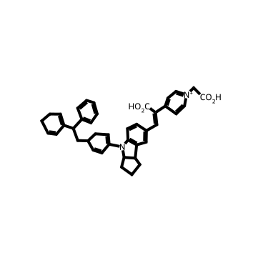 O=C(O)C[n+]1ccc(/C(=C/c2ccc3c(c2)C2CCCC2N3C2=CCC(CC(C3=CCCC=C3)c3ccccc3)C=C2)C(=O)O)cc1